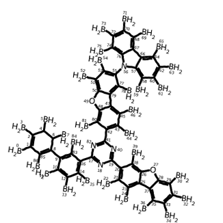 BC1=C(B)C(B)C(B)C(c2c(B)c(B)c(B)c(-c3nc(-c4c(B)c(B)c5c(oc6c(B)c(B)c(B)c(B)c65)c4B)nc(-c4c(B)c(B)c5c(oc6c(B)c(B)c(-n7c8c(B)c(B)c(B)c(B)c8c8c(B)c(B)c(B)c(B)c87)c(B)c65)c4B)n3)c2B)=C1B